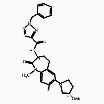 CO[C@H]1CCN(c2cc3c(cc2F)N(C)C(=O)[C@@H](NC(=O)c2nnn(Cc4ccccc4)n2)CC3)C1